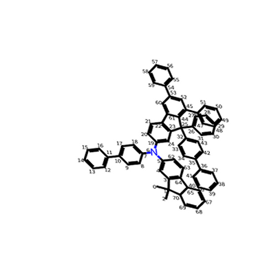 CC1(C)c2cc(N(c3ccc(-c4ccccc4)cc3)c3ccc4c(c3)C(c3ccccc3)(c3ccc(-c5ccccc5)cc3)c3c(-c5ccccc5)cc(-c5ccccc5)cc3-4)ccc2C2C=CC=CC21